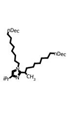 CCCCCCCCCCCCCCCCCCn1cc(C(C)C)nc1C(C)CCCCCCCCCCCCCCCCC